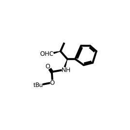 C[C@H](C=O)[C@H](NC(=O)OC(C)(C)C)c1ccccc1